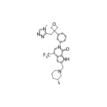 C[C@H]1CCCN(Cc2cc3c(C(F)(F)F)cn(-c4cccc(C5(Cc6nncn6C)COC5)c4)c(=O)c3[nH]2)C1